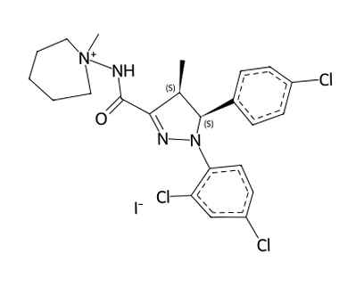 C[C@@H]1C(C(=O)N[N+]2(C)CCCCC2)=NN(c2ccc(Cl)cc2Cl)[C@@H]1c1ccc(Cl)cc1.[I-]